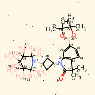 BC1(B)N([C@H]2C[C@@H](N3C(=O)C(C)(C)c4ccc(B5OC(C)(C)C(C)(C)O5)cc43)C2)C(B)(B)C(B)(B)C(B)(B)C1(B)B